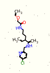 C=COCC(=O)NCCCC(C=C)C(=C)NCc1ccc(Cl)cn1